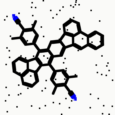 Cc1cc(-c2c3cc4c(cc3c(-c3cc(C)c(C#N)c(C)c3)c3c5cccc6cccc(c23)c65)c2cc3ccccc3c3cccc4c32)cc(C)c1C#N